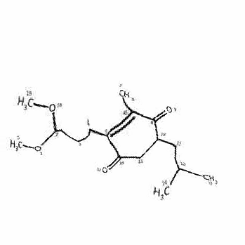 COC(CCC1=C(C)C(=O)C(CC(C)C)CC1=O)OC